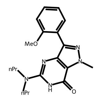 CCCN(CCC)c1nc2c(-c3ccccc3OC)nn(C)c2c(=O)[nH]1